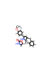 COc1ccc(-c2cc(Cc3ccccc3)c(C)[nH]2)cc1.O=c1[nH]cco1